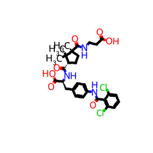 CC1(C)[C@@H](C(=O)N[C@@H](Cc2ccc(NC(=O)c3c(Cl)cccc3Cl)cc2)C(=O)O)CC[C@@]1(C)C(=O)NCCC(=O)O